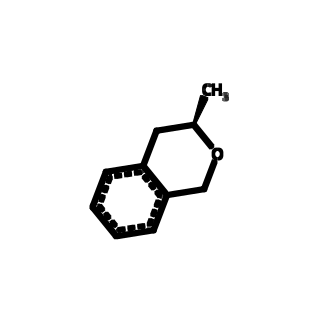 C[C@@H]1Cc2ccccc2CO1